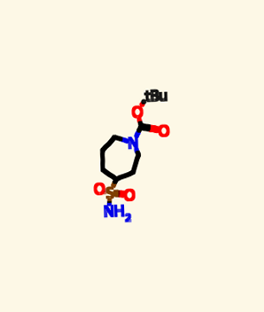 CC(C)(C)OC(=O)N1CCCC(S(N)(=O)=O)CC1